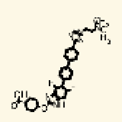 CN(C)CCn1cnc(-c2ccc(-c3ccc(-c4c(F)cc5[nH]c(O[C@H]6CC[C@H](C(=O)O)CC6)nc5c4F)cc3)cc2)n1